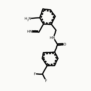 N=Cc1c(N)cccc1CNC(=O)c1ccc(C(F)F)cc1